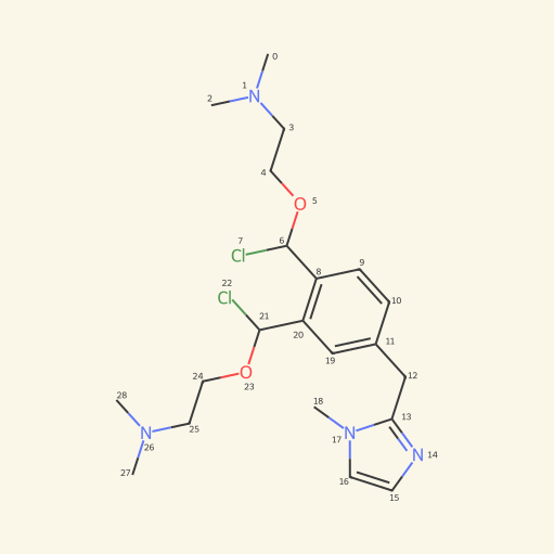 CN(C)CCOC(Cl)c1ccc(Cc2nccn2C)cc1C(Cl)OCCN(C)C